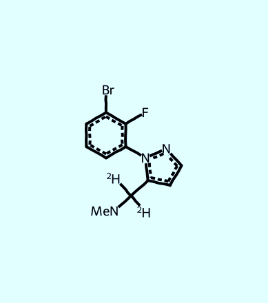 [2H]C([2H])(NC)c1ccnn1-c1cccc(Br)c1F